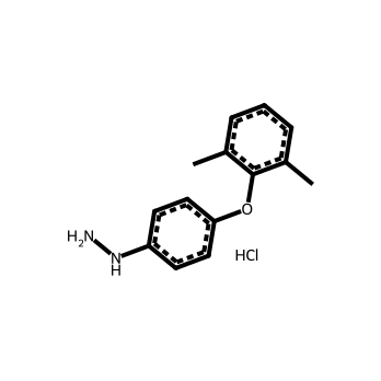 Cc1cccc(C)c1Oc1ccc(NN)cc1.Cl